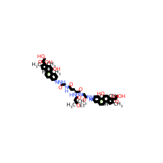 CCOC(C)(C)CC(=O)N[C@@H](CCC(=O)NCC(=O)N/N=C1\C=C[C@@]2(C)C(=C1)CC[C@H]1[C@@H]3C[C@@H](C)[C@](O)(C(=O)CO)[C@@]3(C)C[C@H](O)[C@@]12F)C(=O)NCC(=O)N/N=C1\C=C[C@@]2(C)C(=C1)CC[C@H]1[C@@H]3C[C@@H](C)[C@](O)(C(=O)CO)[C@@]3(C)C[C@H](O)[C@@]12F